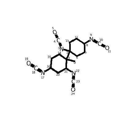 CC1(C2(N=C=O)CCC(N=C=O)CC2)CCC(N=C=O)CC1N=C=O